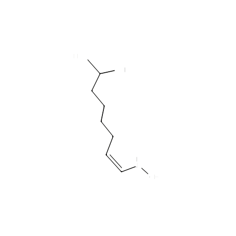 CP/C=C\CCCCC(C)C